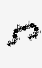 C=C(C)C(=O)OCC(C)OC(=O)Nc1ccc(Cc2ccc(NC(=O)Oc3cccc(OC(=O)Nc4ccc(Cc5ccc(NC(=O)OC(C)COC(=O)C(=C)C)cc5)cc4)c3)cc2)cc1